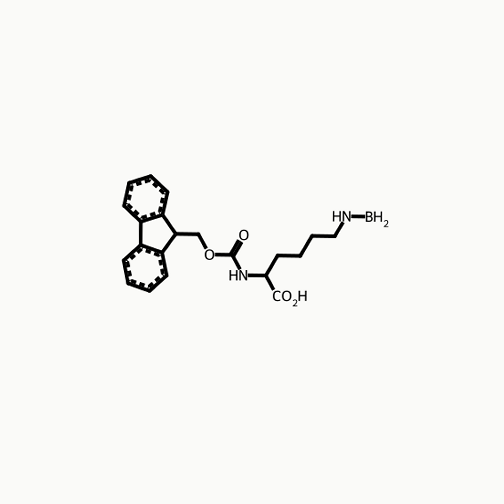 BNCCCCC(NC(=O)OCC1c2ccccc2-c2ccccc21)C(=O)O